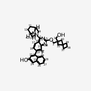 OCC1(COc2nc(N3C[C@H]4CC[C@@H](C3)N4)c3ccc(-c4cc(O)cc5ccccc45)c(F)c3n2)CC2(CCC2)C1